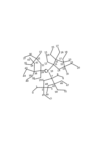 CCC(C)(CC)C[C](CC)([Cr]([C](CC)(CC(C)(CC)CC)C(CC)(CC)CC)[C](CC)(CC(C)(CC)CC)C(CC)(CC)CC)C(CC)(CC)CC